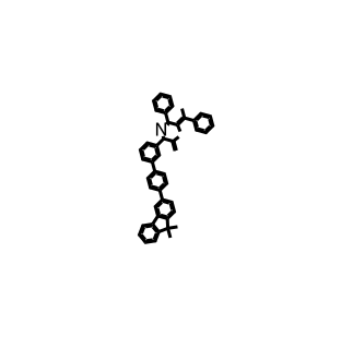 C=C(C)C(/N=C(\C(C)=C(/C)c1ccccc1)c1ccccc1)c1cccc(-c2ccc(-c3ccc4c(c3)-c3ccccc3C4(C)C)cc2)c1